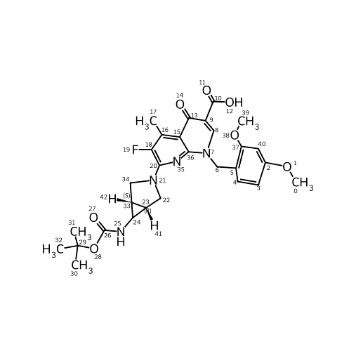 COc1ccc(Cn2cc(C(=O)O)c(=O)c3c(C)c(F)c(N4C[C@@H]5C(NC(=O)OC(C)(C)C)[C@@H]5C4)nc32)c(OC)c1